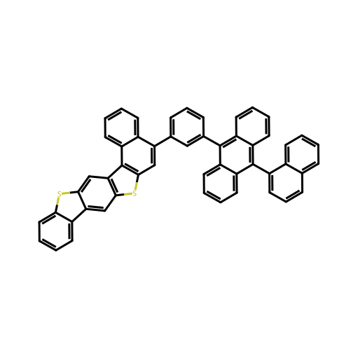 c1cc(-c2c3ccccc3c(-c3cccc4ccccc34)c3ccccc23)cc(-c2cc3sc4cc5c(cc4c3c3ccccc23)sc2ccccc25)c1